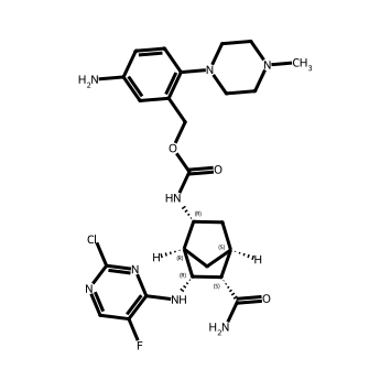 CN1CCN(c2ccc(N)cc2COC(=O)N[C@@H]2C[C@@H]3C[C@H]2[C@@H](Nc2nc(Cl)ncc2F)[C@H]3C(N)=O)CC1